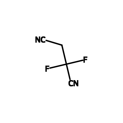 N#CCC(F)(F)C#N